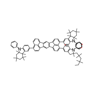 CCC(C)(C)CC(C)(C)CC1(C)Cc2cc(-c3ccc4c5cc6c(cc5c5ccc(-c7ccc8c(c7)C7(C)C(C)(C)CC(C)(C)CC7(C)N8c7ccccc7)c3c54)c3cccc4c(-c5ccc7c(c5)C5(C)C(C)(C)CC(C)(C)CC5(C)N7c5ccccc5)ccc6c43)ccc2N1c1ccccc1